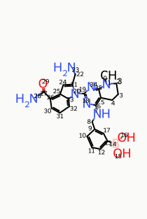 CN1CCCc2c(NCc3cccc(B(O)O)c3)nc(-n3c(CN)cc4c(C(N)=O)cccc43)nc21